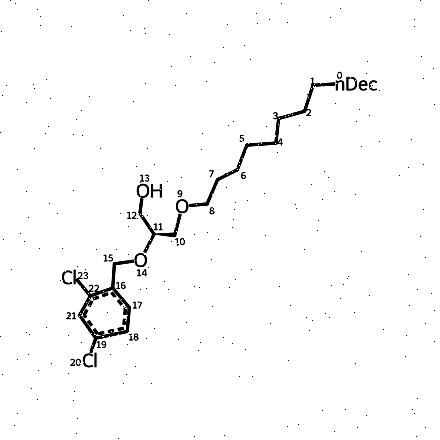 CCCCCCCCCCCCCCCCCCOC[C@H](CO)OCc1ccc(Cl)cc1Cl